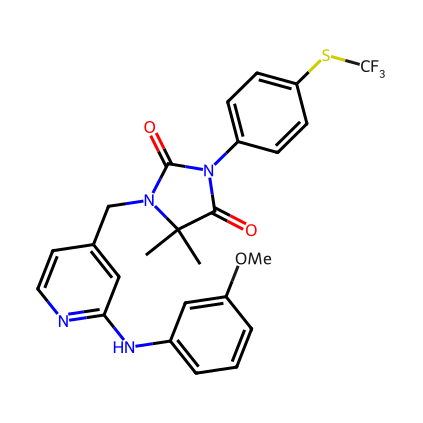 COc1cccc(Nc2cc(CN3C(=O)N(c4ccc(SC(F)(F)F)cc4)C(=O)C3(C)C)ccn2)c1